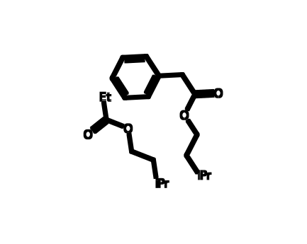 CC(C)CCOC(=O)Cc1ccccc1.CCC(=O)OCCC(C)C